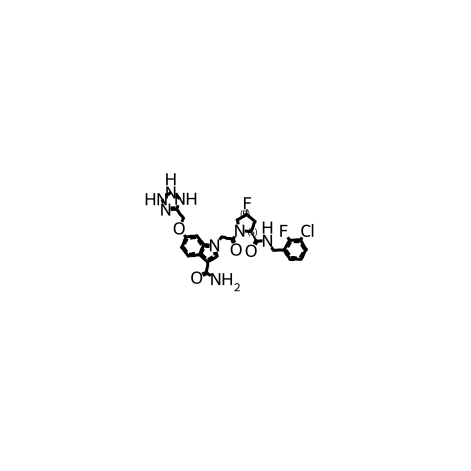 NC(=O)c1cn(CC(=O)N2C[C@H](F)C[C@H]2C(=O)NCc2cccc(Cl)c2F)c2cc(OCC3=NNNN3)ccc12